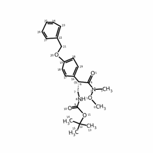 CON(C)C(=O)[C@H](CNC(=O)OC(C)(C)C)c1ccc(OCc2ccccc2)cc1